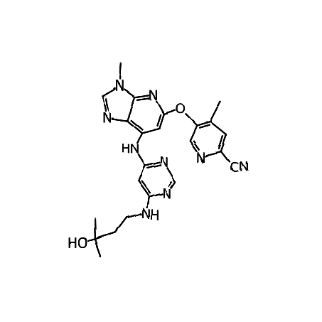 Cc1cc(C#N)ncc1Oc1cc(Nc2cc(NCCC(C)(C)O)ncn2)c2ncn(C)c2n1